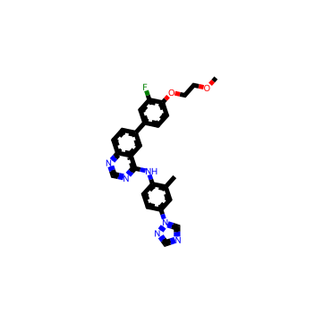 COCCOc1ccc(-c2ccc3ncnc(Nc4ccc(-n5cncn5)cc4C)c3c2)cc1F